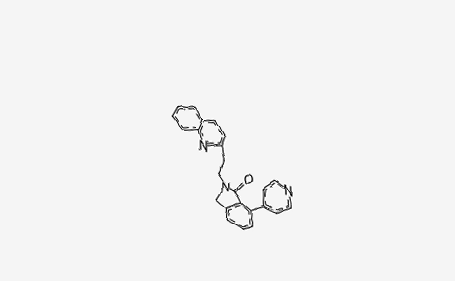 O=C1c2c(cccc2-c2ccncc2)CN1CCc1ccc2ccccc2n1